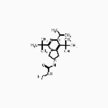 CNC(=O)N[C@H]1CC2=C(C(C)(C)C)[C@H](C(C)C)N=C(C(C)(C)C)N2C1